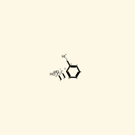 CC(=O)O.CC(=O)O.I.Ic1ccccc1